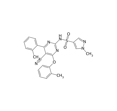 Cc1ccccc1Oc1nc(NS(=O)(=O)c2cnn(C)c2)nc(-c2ccccc2C)c1C#N